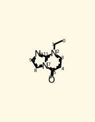 CCn1ccc(=O)n2ccnc12